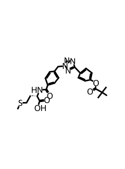 CSCC[C@H](NC(=O)c1ccc(Cn2nnc(-c3ccc(OC(=O)C(C)(C)C)cc3)n2)cc1)C(=O)O